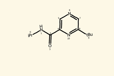 CC(C)NC(=O)c1cncc(C(C)(C)C)n1